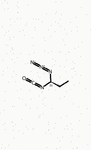 CC[C@@H](N=C=O)N=[N+]=[N-]